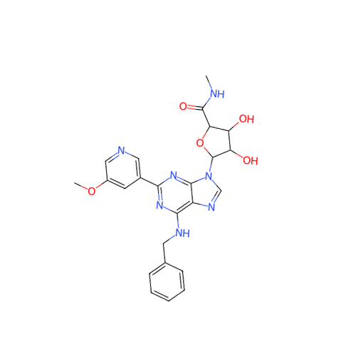 CNC(=O)C1OC(n2cnc3c(NCc4ccccc4)nc(-c4cncc(OC)c4)nc32)C(O)C1O